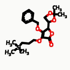 CC1(C)OCC(C2OC(=O)C(OCCC[Si](C)(C)C)=C2OCc2ccccc2)O1